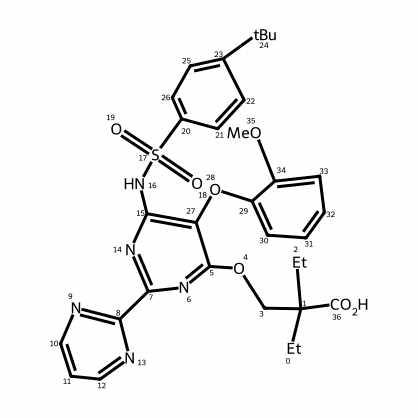 CCC(CC)(COc1nc(-c2ncccn2)nc(NS(=O)(=O)c2ccc(C(C)(C)C)cc2)c1Oc1ccccc1OC)C(=O)O